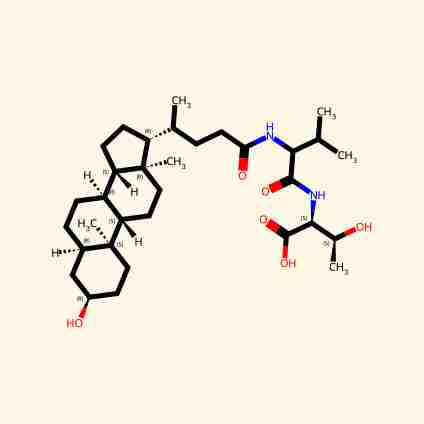 CC(C)C(NC(=O)CCC(C)[C@H]1CC[C@H]2[C@@H]3CC[C@@H]4C[C@H](O)CC[C@]4(C)[C@H]3CC[C@]12C)C(=O)N[C@H](C(=O)O)[C@H](C)O